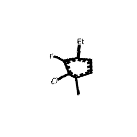 CCc1ccc(C)c(Cl)c1F